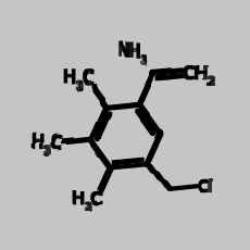 C=Cc1cc(CCl)c(C)c(C)c1C.N